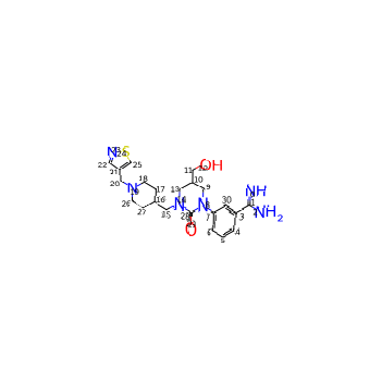 N=C(N)c1cccc(N2CC(CO)CN(CC3CCN(Cc4cnsc4)CC3)C2=O)c1